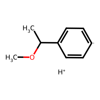 COC(C)c1cc[c]cc1.[H+]